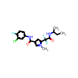 CCC(C)NC(=O)C(F)(F)c1cc(C(=O)Nc2ccc(F)c(Cl)c2)cn1C